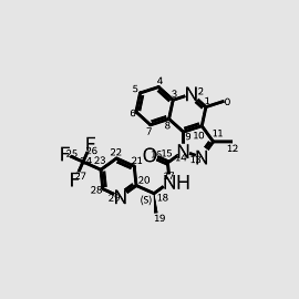 Cc1nc2ccccc2c2c1c(C)nn2C(=O)N[C@@H](C)c1ccc(C(F)(F)F)cn1